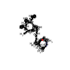 COc1cc2cc(c1Cl)N(C)C(=O)C[C@H](OC(=O)[C@H](C)N(C)C(=O)CCSSCCC(=O)NCCNC(=O)[C@@H](NC(=O)[C@@H]1CSSC[C@H](NC(=O)[C@H](N)Cc3c[nH]c4ccccc34)C(=O)N[C@@H](Cc3ccc(O)cc3)C(=O)N[C@H](Cc3c[nH]c4ccccc34)C(=O)N[C@@H](CCCCN)C(=O)N[C@@H]([C@@H](C)O)C(=O)N1)[C@@H](C)O)[C@]1(C)O[C@H]1[C@H](C)[C@@H]1C[C@@](O)(NC(=O)O1)[C@H](OC)/C=C/C=C(\C)C2